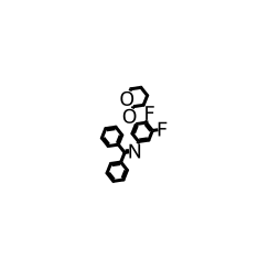 Fc1cc(N=C(c2ccccc2)c2ccccc2)cc(OC2CCCCO2)c1F